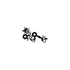 Cc1nc(C#Cc2cccc3c2COCCN3c2nc3nnc(C)n3c3cccc(F)c23)co1